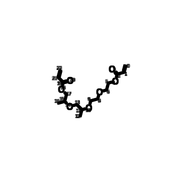 C=CC(=O)OCCOCCOC(C)COC(C)COC(=O)C=C